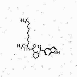 CCCCCCCCC(C)NC(=O)C1CCCN1C(=O)c1ccc2[nH]ccc2c1